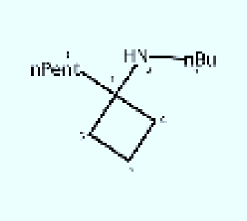 CCCCCC1(NCCCC)CCC1